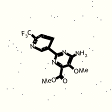 COC(=O)c1nc(-c2ccc(C(F)(F)F)nc2)nc(N)c1OC